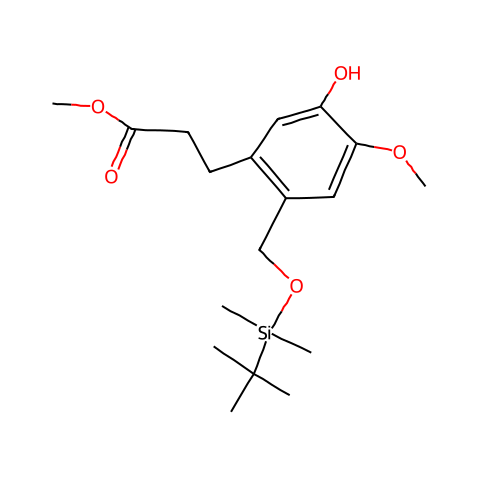 COC(=O)CCc1cc(O)c(OC)cc1CO[Si](C)(C)C(C)(C)C